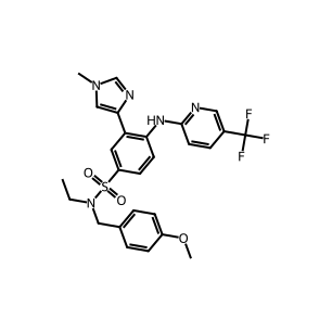 CCN(Cc1ccc(OC)cc1)S(=O)(=O)c1ccc(Nc2ccc(C(F)(F)F)cn2)c(-c2cn(C)cn2)c1